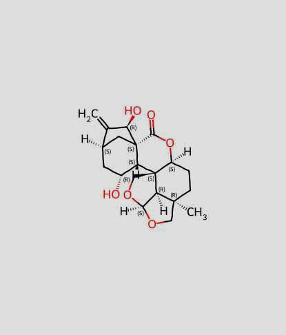 C=C1[C@@H]2C[C@@H](O)[C@@H]3[C@](C2)(C(=O)O[C@H]2CC[C@@]4(C)CO[C@H]5OC[C@]23[C@H]54)[C@@H]1O